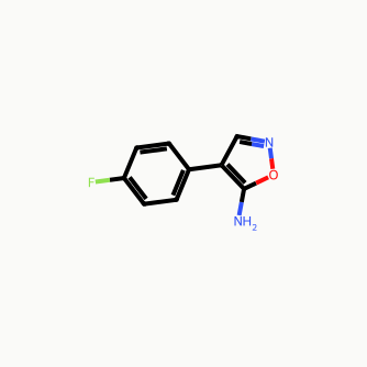 Nc1oncc1-c1ccc(F)cc1